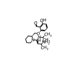 CC(N)/C=C(\NC(C)C)N1CCCC[C@H]1COc1cccc(O)c1C=O